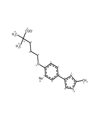 Cc1nc(-c2ccc(OCCCC(C)(C)C(=O)[O-])cc2)cs1.[Na+]